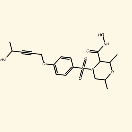 CC(O)C#CCOc1ccc(S(=O)(=O)N2CC(C)OC(C)C2C(=O)NO)cc1